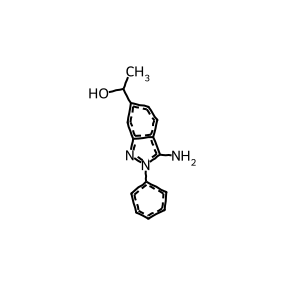 CC(O)c1ccc2c(N)n(-c3ccccc3)nc2c1